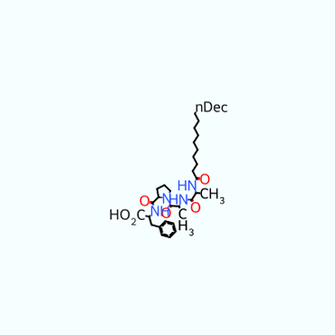 CCCCCCCCCCCCCCCCCCCC(=O)NC(C)C(=O)NC(C)C(=O)N1CCCC1C(=O)NC(Cc1ccccc1)C(=O)O